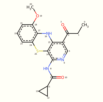 CCC(=O)c1cnc(NC(=O)C2CC2)c2c1Nc1c(OC)cccc1S2